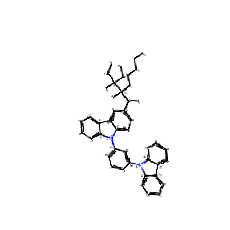 CCCCCC(C)(C(C)c1ccc2c(c1)c1ccccc1n2-c1cccc(-n2c3ccccc3c3ccccc32)c1)C(C)(CC)CC